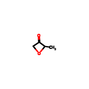 CC1OCC1=O